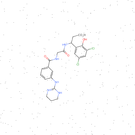 O=C(O)CC(NC(=O)CNC(=O)c1cccc(NC2=NCCCN2)c1)c1cc(Cl)cc(Cl)c1O